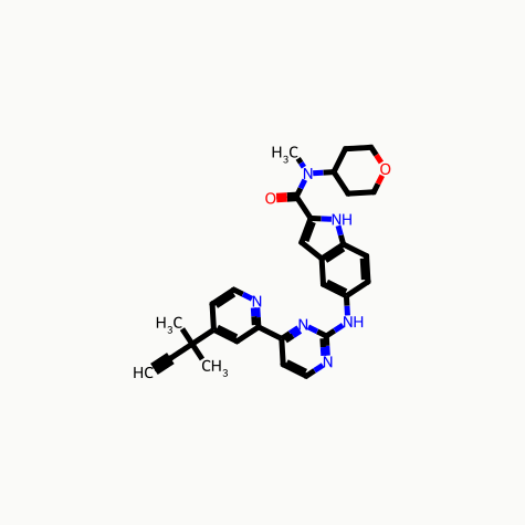 C#CC(C)(C)c1ccnc(-c2ccnc(Nc3ccc4[nH]c(C(=O)N(C)C5CCOCC5)cc4c3)n2)c1